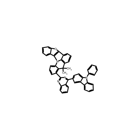 CC1(C)c2c(-c3nc(-c4ccc5c(c4)c4ccccc4n5-c4ccccc4)c4ccccc4n3)cccc2-n2c3c1cccc3c1oc3ccccc3c12